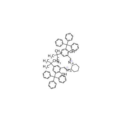 CC(C)(C)c1cc(/C=N/[C@@H]2CCCC[C@H]2/N=C/c2cc(C(C)(C)C)cc(C(c3ccccc3)(c3ccccc3)c3ccccc3)c2O)c(O)c(C(c2ccccc2)(c2ccccc2)c2ccccc2)c1